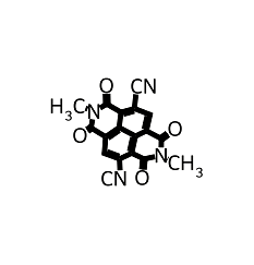 CN1C(=O)c2cc(C#N)c3c4c(cc(C#N)c(c24)C1=O)C(=O)N(C)C3=O